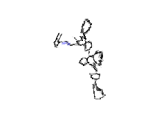 Cc1c(/C=C/c2ccc[nH]2)c2cc(-c3c4ccccc4c(-c4ccc(-c5ccccc5)cc4)c4ccccc34)ccc2n1-c1ccccc1